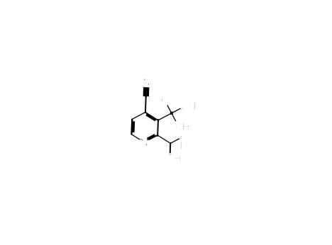 CC(C)c1nccc(C#N)c1C(C)(C)C